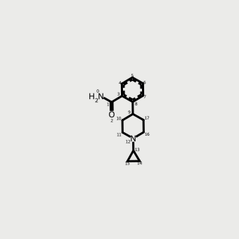 NC(=O)c1ccccc1C1CCN(C2CC2)CC1